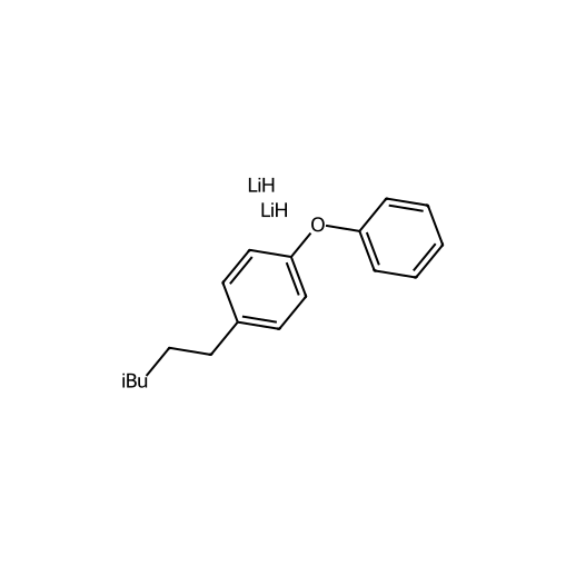 CCC(C)CCc1ccc(Oc2ccccc2)cc1.[LiH].[LiH]